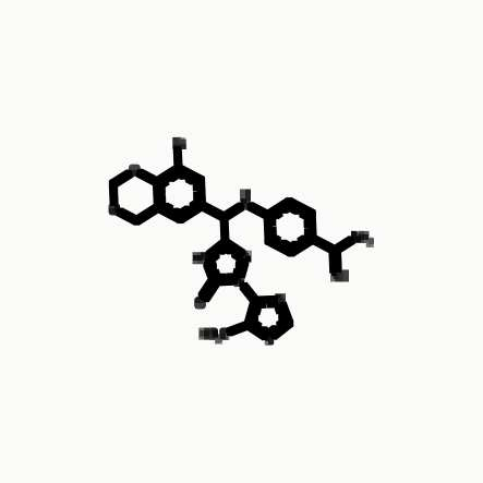 CCc1cc(C(Nc2ccc(C(=N)N)cc2)c2nn(-c3ncsc3C(=O)O)c(=O)[nH]2)cc2c1OCOC2